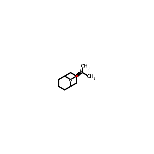 CC(C)C1CC2CCCC(C1)N2C#N